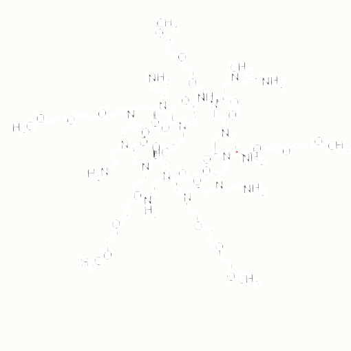 C#CCN(CC(N)=O)C(=O)CN(CCN)C(=O)CN(CCOCCOCCOC)C(=O)CN(CCN)C(=O)CN(CCOCCOCCOC)C(=O)CN(CCN)C(=O)CN(CCOCCOCCOC)C(=O)CN(CCN)C(=O)CN(CCOCCOCCOC)C(=O)CN(CCN)C(=O)CN(CCOCCOCCOC)C(=O)CN(C)CCN